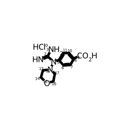 Cl.N=C(N)N(c1ccc(C(=O)O)cc1)N1CCOCC1